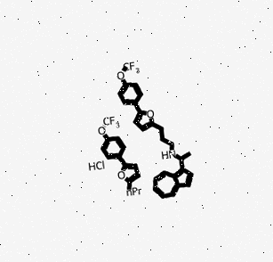 CC(NCCCc1ccc(-c2ccc(OC(F)(F)F)cc2)o1)c1ccc2cccccc1-2.CCCc1ccc(-c2ccc(OC(F)(F)F)cc2)o1.Cl